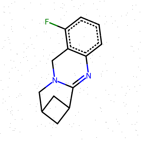 Fc1cccc2c1CN1CC3CC(C3)C1=N2